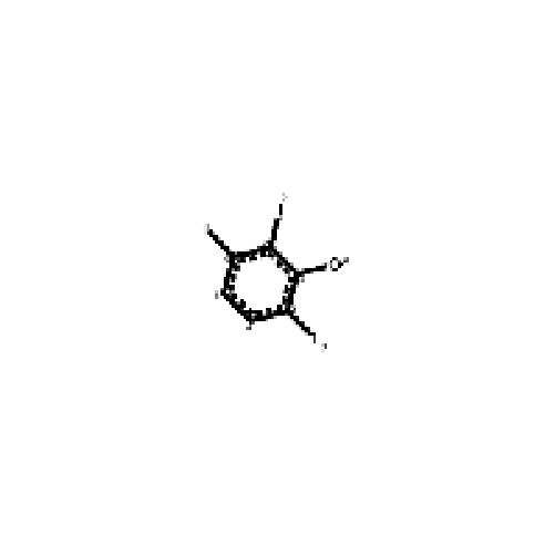 [O]c1c(I)ccc(I)c1I